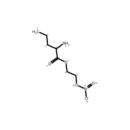 CCCC(N)C(=O)OCCO[N+](=O)[O-]